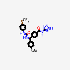 CC(C)(C)c1ccc(C(NC(=O)Nc2ccc(SC(F)(F)F)cc2)c2ccc(C(=O)Nc3nn[nH]n3)cc2)cc1